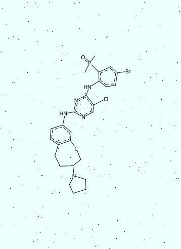 CP(C)(=O)c1cc(Br)ccc1Nc1nc(Nc2ccc3c(c2)CCC(N2CCCC2)CC3)ncc1Cl